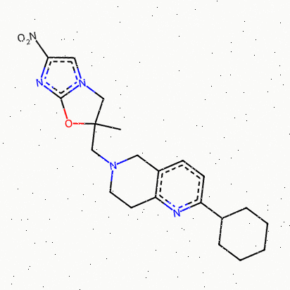 CC1(CN2CCc3nc(C4CCCCC4)ccc3C2)Cn2cc([N+](=O)[O-])nc2O1